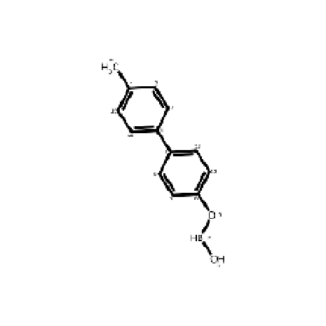 Cc1ccc(-c2ccc(OBO)cc2)cc1